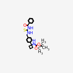 CC(C)(C)OC(=O)NC1(c2ccc(CNC(=S)NC(=O)c3ccccc3)cc2)CCC1